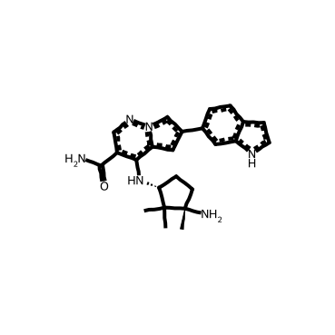 CC1(C)[C@H](Nc2c(C(N)=O)cnn3cc(-c4ccc5cc[nH]c5c4)cc23)CC[C@]1(C)N